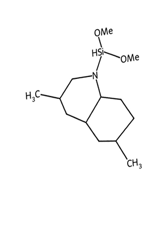 CO[SiH](OC)N1CC(C)CC2CC(C)CCC21